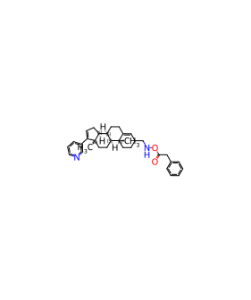 C[C@]12CCC(CNOC(=O)Cc3ccccc3)C=C1CC[C@H]1[C@@H]2CC[C@]2(C)C(c3cccnc3)=CC[C@@H]12